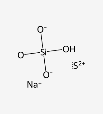 [Na+].[O-][Si]([O-])([O-])O.[S+2]